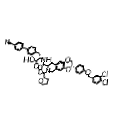 N#Cc1ccc(-c2ccc(C[C@H](NC(=O)C3Cc4cc5c(cc4CN3C(=O)C3CCCO3)O[C@@H](c3ccc(OCc4ccc(Cl)c(Cl)c4)cc3)CO5)C(=O)O)cc2)cc1